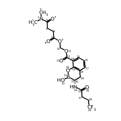 CN(C)C(=O)CCC(=O)OCOC(=O)c1cccc2c1OB(O)[C@@H](NC(=O)CCC(F)(F)F)C2